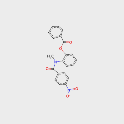 CN(C(=O)c1ccc([N+](=O)[O-])cc1)c1ccccc1OC(=O)c1ccccc1